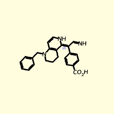 N=C/C(=C1\NC=CC2=C1CCCN2Cc1ccccc1)c1ccc(C(=O)O)cc1